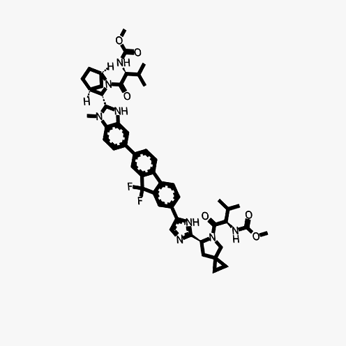 COC(=O)N[C@@H](C(=O)N1CC2(CC2)C[C@H]1c1ncc(-c2ccc3c(c2)C(F)(F)c2cc(-c4ccc5c(c4)NC([C@@H]4[C@H]6CC[C@H](C6)N4C(=O)[C@H](NC(=O)OC)C(C)C)N5C)ccc2-3)[nH]1)C(C)C